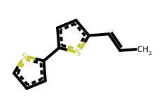 CC=Cc1ccc(-c2cccs2)s1